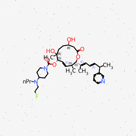 CCCN(CCF)C1CCN(C(=O)O[C@H]2/C=C/[C@H](C)[C@@H](/C(C)=C/C=C/C(C)c3cccnc3)OC(=O)C[C@H](O)CC[C@@]2(C)O)CC1